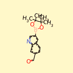 CC1(C)OB(c2cnc3cc(C=O)ccc3c2)OC1(C)C